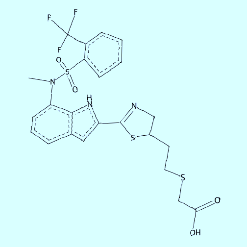 CN(c1cccc2cc(C3=NCC(CCSCC(=O)O)S3)[nH]c12)S(=O)(=O)c1ccccc1C(F)(F)F